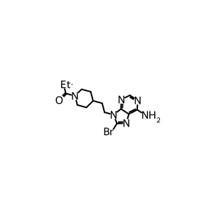 C[CH]C(=O)N1CCC(CCn2c(Br)nc3c(N)ncnc32)CC1